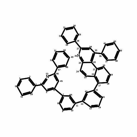 c1ccc(-c2cc(-c3cccc(-c4cccc(-c5cccc6c5ccc5nc(-c7ccccc7)cc(-c7ccccc7)c56)c4)c3)cc(-c3ccccc3)n2)cc1